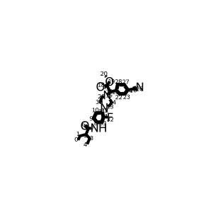 CCC(CC)C(=O)Nc1ccc(N2CCN(C(C(=O)OC)c3ccc(C#N)cc3)CC2)c(F)c1